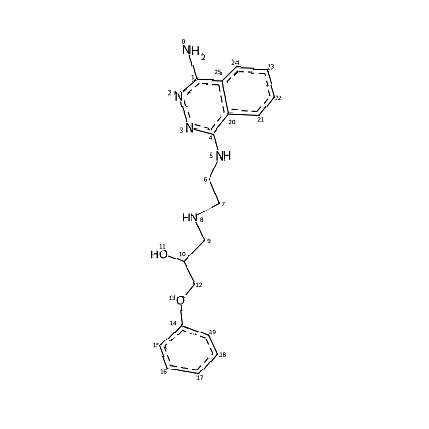 Nc1nnc(NCCNCC(O)COc2ccccc2)c2ccccc12